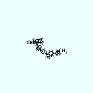 Cn1cc(-c2ccc3c(N4CCN(c5ncc(C(O[Si](C)(C)C(C)(C)C)c6ccccc6)o5)CC4)cnn3c2)cn1